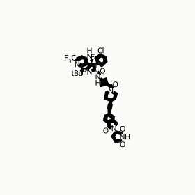 CC(C)(C)C[C@@H]1N[C@@H](C(=O)NC23CC(C(=O)N4CCC(C#Cc5ccc6c(c5)CN(C5CCC(=O)NC5=O)C6=O)CC4)(C2)C3)[C@H](c2cccc(Cl)c2F)[C@]12CNc1cc(C(F)(F)F)ncc12